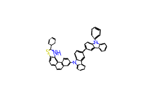 C1=CCC(C2Nc3c(ccc4ccc5cc(-n6c7ccccc7c7cc(-c8ccc9c(c8)c8ccccc8n9-c8ccccc8)ccc76)ccc5c34)S2)C=C1